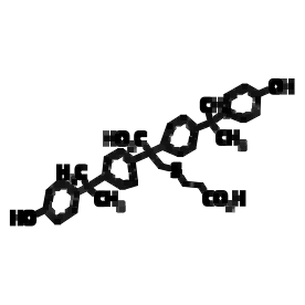 CC(C)(c1ccc(O)cc1)c1ccc(C(CSCCC(=O)O)(C(=O)O)c2ccc(C(C)(C)c3ccc(O)cc3)cc2)cc1